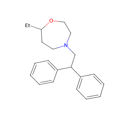 CCC1CCN(CC(c2ccccc2)c2ccccc2)CCO1